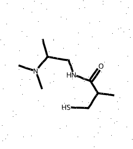 CC(CS)C(=O)NCC(C)N(C)C